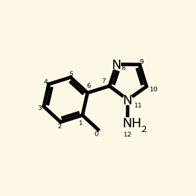 Cc1ccccc1-c1nccn1N